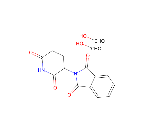 O=C1CCC(N2C(=O)c3ccccc3C2=O)C(=O)N1.O=CO.O=CO